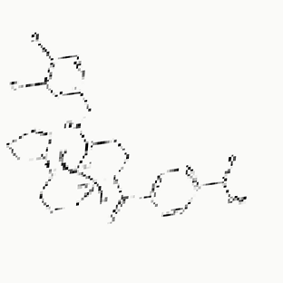 COC(=O)c1ccc(C(=O)N2CCN(C(=O)Cc3ccc(Cl)c(Cl)c3)[C@H]3[C@H](N4CCCC4)CCC[C@H]32)cc1